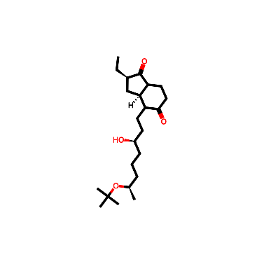 CC[C@@H]1C[C@@H]2C(CC[C@H](O)CCC[C@@H](C)OC(C)(C)C)C(=O)CCC2C1=O